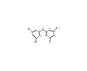 Fc1cc(F)cc(Sc2cc(F)cc(F)c2)c1